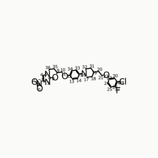 O=[N+]([O-])c1cn2c(n1)OC(COc1ccc(N3CCC(CCOc4ccc(F)c(Cl)c4)CC3)cc1)CC2